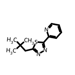 CC(C)(C)Cc1nnc(-c2ccccn2)s1